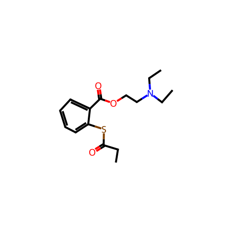 CCC(=O)Sc1ccccc1C(=O)OCCN(CC)CC